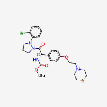 CC(C)(C)OC(=O)N[C@H](C(=O)N1CCCN1c1ccccc1Br)c1ccc(OCCN2CCSCC2)cc1